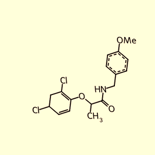 COc1ccc(CNC(=O)C(C)OC2=C(Cl)CC(Cl)C=C2)cc1